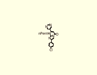 CCCCCn1c(-c2cncnc2)cc(=O)n2cc(-c3ccc(Cl)cc3)nc12